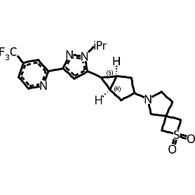 CC(C)n1nc(-c2cc(C(F)(F)F)ccn2)cc1C1[C@H]2CC(N3CCC4(C3)CS(=O)(=O)C4)C[C@@H]12